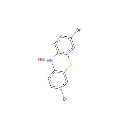 Br.Brc1ccc2c(c1)Sc1cc(Br)ccc1N2